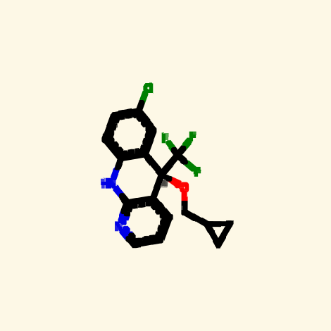 FC(F)(F)[C@@]1(OCC2CC2)c2cc(Cl)ccc2Nc2ncccc21